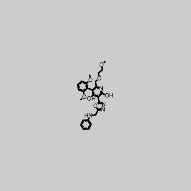 COCCOCc1nc(O)c(-c2nnc(CNc3ccccc3)o2)c(O)c1-c1c(OC)cccc1OC